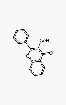 O=c1[c]([GeH3])c(-c2ccccc2)oc2ccccc12